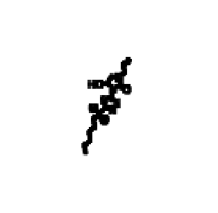 C=CCN1CC(O)N(c2nnc(S(=O)(=O)CCCCCC)s2)C1=O